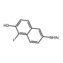 CC(=O)Nc1ccc2c(F)c(O)ccc2c1